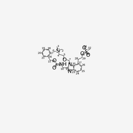 C[Si](C)(C)CCOCn1c(CNC(=O)OCc2ccccc2)nc2cccc(CCOS(C)(=O)=O)c21